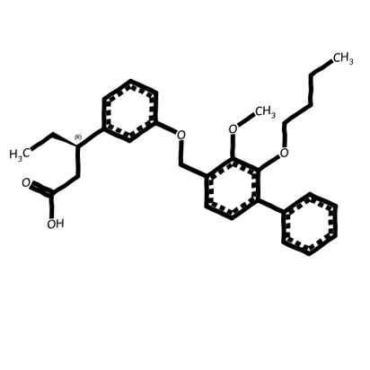 CCCCOc1c(-c2ccccc2)ccc(COc2cccc([C@H](CC)CC(=O)O)c2)c1OC